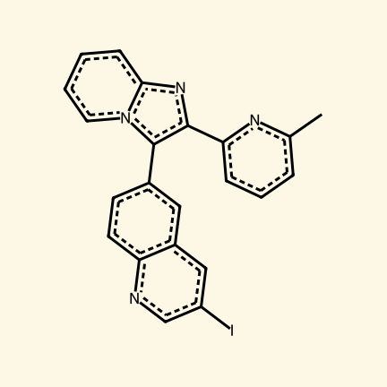 Cc1cccc(-c2nc3ccccn3c2-c2ccc3ncc(I)cc3c2)n1